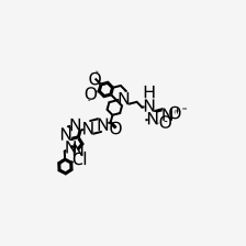 COc1cc2c(cc1OC)C1(CCC(C(=O)N3CCN(c4ncnc5c4cnn5Cc4ccccc4Cl)CC3)CC1)N(CCCN/C(=C/[N+](=O)[O-])N(C)C)CC2